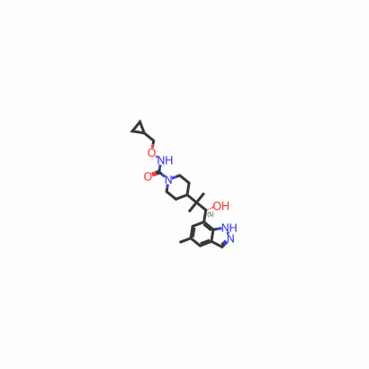 Cc1cc([C@@H](O)C(C)(C)C2CCN(C(=O)NOCC3CC3)CC2)c2[nH]ncc2c1